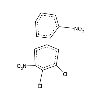 O=[N+]([O-])c1cccc(Cl)c1Cl.O=[N+]([O-])c1ccccc1